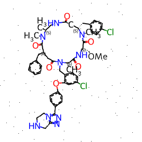 COC[C@@H]1NC(=O)[C@H](C)N(Cc2ccc(Cl)cc2Oc2ccc(-c3nnc4n3CCNC4)cc2)C(=O)C[C@@H](Cc2ccccc2)C(=O)N(C)[C@@H](C)CNC(=O)C[C@H](Cc2ccc(Cl)cc2)N(C)C1=O